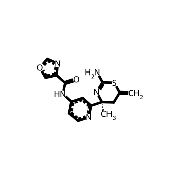 C=C1C[C@@](C)(c2cc(NC(=O)c3cocn3)ccn2)N=C(N)S1